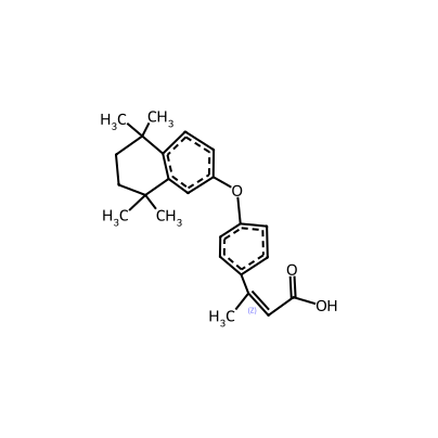 C/C(=C/C(=O)O)c1ccc(Oc2ccc3c(c2)C(C)(C)CCC3(C)C)cc1